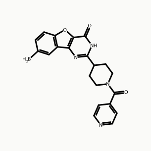 Bc1ccc2oc3c(=O)[nH]c(C4CCN(C(=O)c5ccncc5)CC4)nc3c2c1